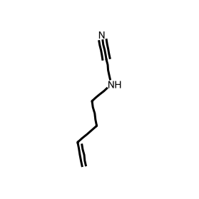 C=CCCNC#N